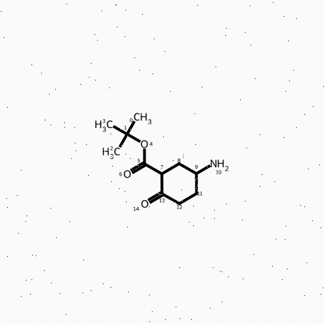 CC(C)(C)OC(=O)C1CC(N)CCC1=O